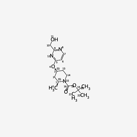 C[C@H]1C[C@@H](Oc2ccnc(CO)n2)CCN1C(=O)OC(C)(C)C